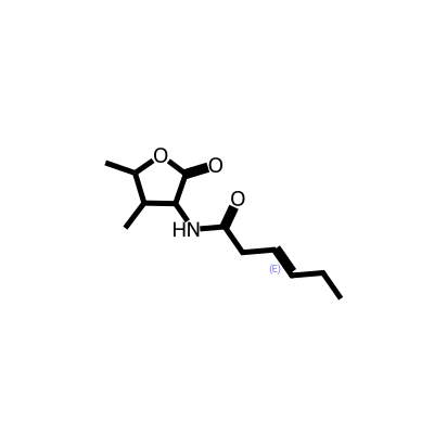 CC/C=C/CC(=O)NC1C(=O)OC(C)C1C